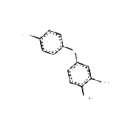 CCCc1ccc(Nc2ccc(OC)c(C(C)(C)C)c2)cc1